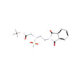 CC(C)(C)OC(=O)CN(CCN1C(=O)c2ccccc2C1=O)S(C)(=O)=O